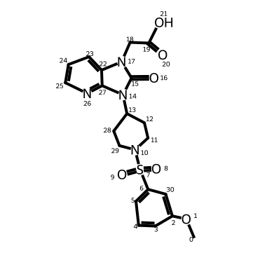 COc1cccc(S(=O)(=O)N2CCC(n3c(=O)n(CC(=O)O)c4cccnc43)CC2)c1